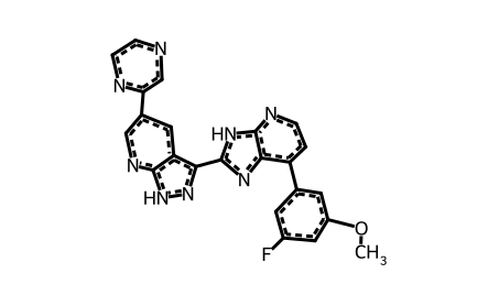 COc1cc(F)cc(-c2ccnc3[nH]c(-c4n[nH]c5ncc(-c6cnccn6)cc45)nc23)c1